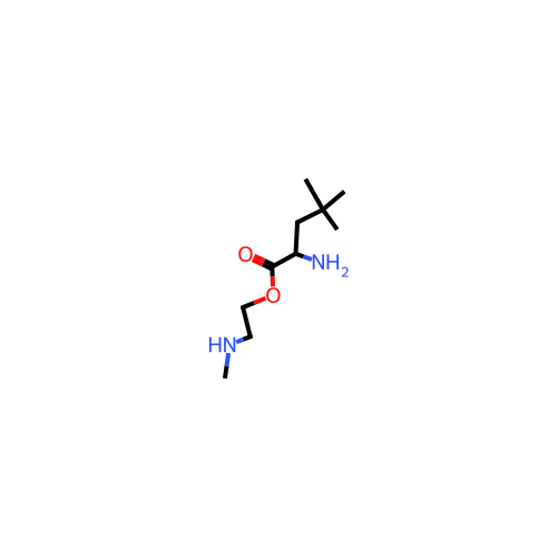 CNCCOC(=O)C(N)CC(C)(C)C